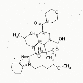 COCCCCn1c(C(=O)N(CC(C)C)[C@H]2C[C@@H](C(=O)N3CCOCC3)CN(C(=O)O)C2C(C)(C)C)nc2c1CCCC2